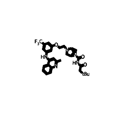 Cc1cc(Nc2cc(OCCN3CC4CC3CN4C(=O)NC(=O)CC(C)(C)C)cc(C(F)(F)F)c2)c2ccccc2n1